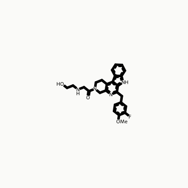 COc1ccc(Cc2nc3c(c4c2[nH]c2ccccc24)CCN(C(=O)CNCCO)C3)cc1F